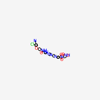 N#Cc1ccc(O[C@H]2CC[C@H](NC(=O)c3ccc(N4CCN(C5CCN(c6ccc7c(c6)C(=O)N(C6CCC(=O)NC6=O)C7=O)CC5)CC4)nn3)CC2)cc1Cl